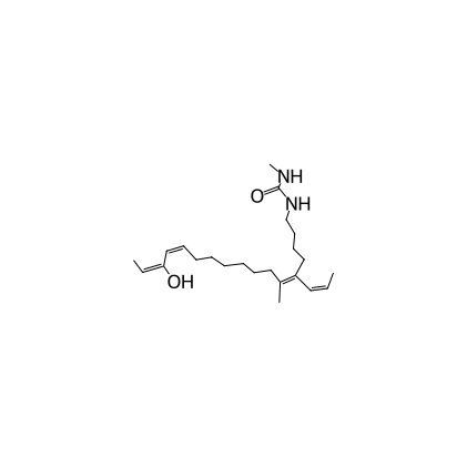 C/C=C\C(CCCCNC(=O)NC)=C(/C)CCCCCC/C=C\C(O)=C/C